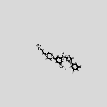 CCOCCN1CCN(c2cc(C)cc(Nc3ncn(-c4cc(F)cc(F)c4)n3)c2)CC1